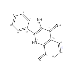 C=Cc1[nH]c2c([nH]c3ccccc32)c(=O)c1/C=C\C